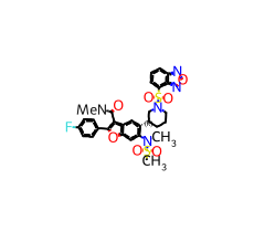 CNC(=O)c1c(-c2ccc(F)cc2)oc2cc(N(C)S(C)(=O)=O)c([C@H]3CCCN(S(=O)(=O)c4cccc5nonc45)C3)cc12